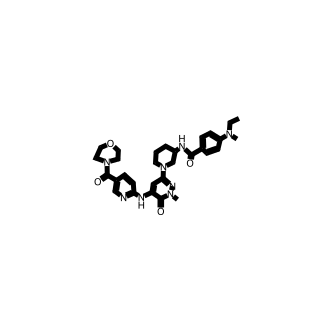 CCN(C)c1ccc(C(=O)NC2CCCN(c3cc(Nc4ccc(C(=O)N5CCOCC5)cn4)c(=O)n(C)n3)C2)cc1